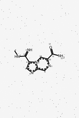 CNC(=N)c1cnc2cnc(C(N)=O)cn12